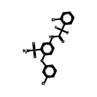 NS(=O)(=O)c1cc(NC(=O)C(F)(F)c2ccccc2Cl)ccc1Oc1cccc(Cl)c1